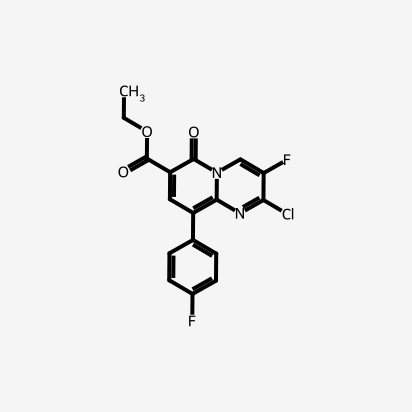 CCOC(=O)c1cc(-c2ccc(F)cc2)c2nc(Cl)c(F)cn2c1=O